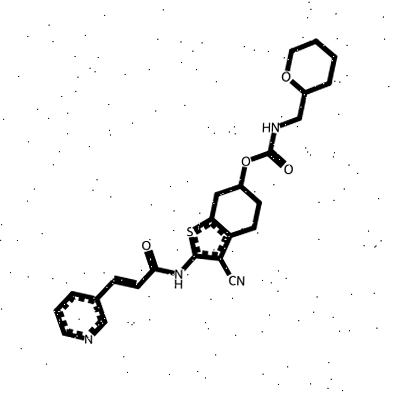 N#Cc1c(NC(=O)C=Cc2cccnc2)sc2c1CCC(OC(=O)NCC1CCCCO1)C2